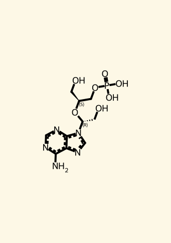 Nc1ncnc2c1ncn2[C@@H](CO)O[C@@H](CO)COP(=O)(O)O